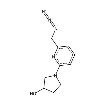 [N-]=[N+]=NCc1cccc(N2CCC(O)C2)n1